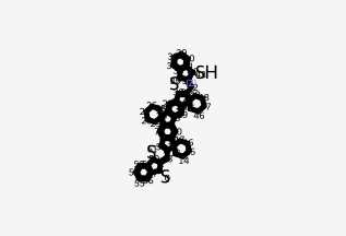 S=C1C(=CC2=Cc3cc4c(cc3C23CCCCC3)-c2cc3c(cc2C42CCCCC2)C=C(/C=C2\C(=S)c4ccccc4C2S)C32CCCCC2)C(=S)c2ccccc21